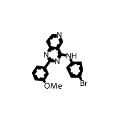 COc1cccc(-c2nc(Nc3ccc(Br)cc3)c3cnccc3n2)c1